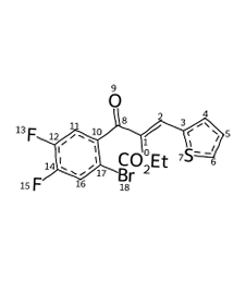 CCOC(=O)/C(=C\c1cccs1)C(=O)c1cc(F)c(F)cc1Br